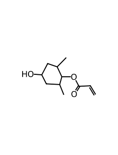 C=CC(=O)OC1C(C)CC(O)CC1C